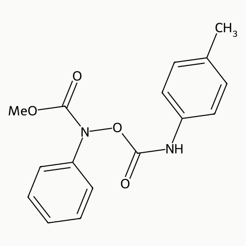 COC(=O)N(OC(=O)Nc1ccc(C)cc1)c1ccccc1